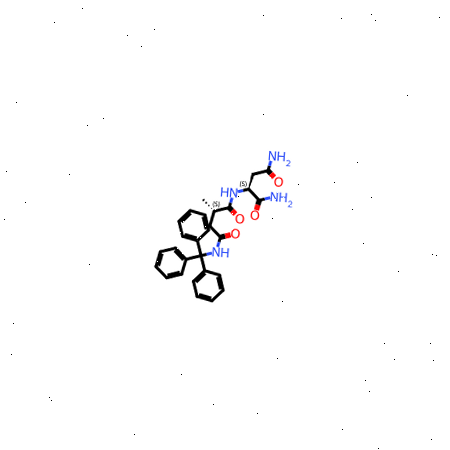 C[C@@H](CC(=O)NC(c1ccccc1)(c1ccccc1)c1ccccc1)C(=O)N[C@@H](CC(N)=O)C(N)=O